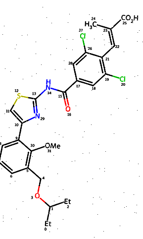 CCC(CC)OCc1cccc(-c2csc(NC(=O)c3cc(Cl)c(/C=C(\C)C(=O)O)c(Cl)c3)n2)c1OC